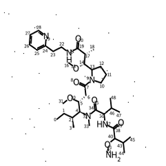 CC[C@H](C)[C@@H]([C@@H](CC(=O)N1CCCC1[C@H](OC)[C@@H](C)C(=O)NCCc1ccccn1)OC)N(C)C(=O)C(NC(=O)C(ON)C(C)C)C(C)C